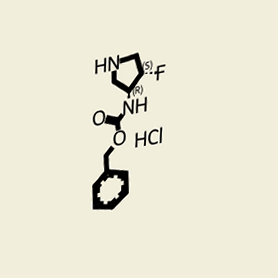 Cl.O=C(N[C@@H]1CNC[C@@H]1F)OCc1ccccc1